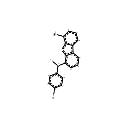 CC(C)c1cccc2c1sc1c(N(I)c3ccc(F)cc3)cccc12